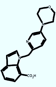 O=C(O)c1cccc2ccn(Cc3ccc(N4CCOCC4)cn3)c12